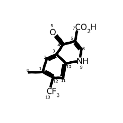 Cc1cc2c(=O)c(C(=O)O)c[nH]c2cc1C(F)(F)F